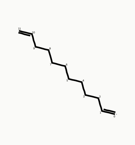 [CH]=CCCCCCCCCC=C